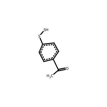 CC(=O)c1ccc(SS)cc1